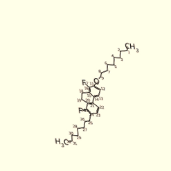 CCCCCCCCCCOc1ccc2c(c1F)CCc1c-2ccc(CCCCCCCC)c1F